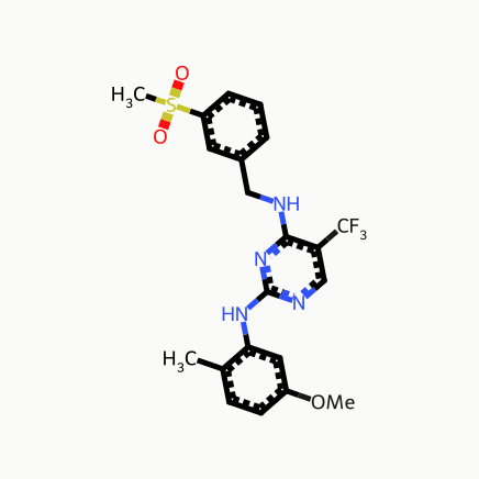 COc1ccc(C)c(Nc2ncc(C(F)(F)F)c(NCc3cccc(S(C)(=O)=O)c3)n2)c1